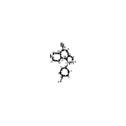 Fc1ccc(-n2ncc3cc(Br)c4cnccc4c32)cc1